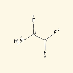 FC(F)C(F)[SiH3]